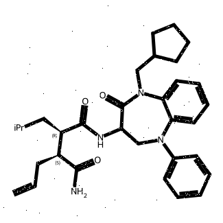 C=CC[C@H](C(N)=O)[C@@H](CC(C)C)C(=O)NC1CN(c2ccccc2)c2ccccc2N(CC2CCCC2)C1=O